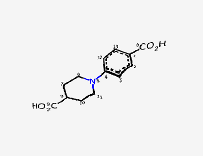 O=C(O)c1ccc(N2CCC(C(=O)O)CC2)cc1